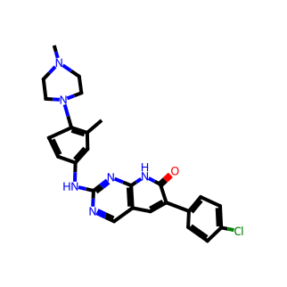 Cc1cc(Nc2ncc3cc(-c4ccc(Cl)cc4)c(=O)[nH]c3n2)ccc1N1CCN(C)CC1